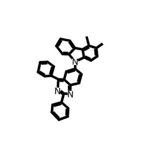 Cc1ccc2c(c1C)c1ccccc1n2-c1ccc2nc(-c3ccccc3)nc(-c3ccccc3)c2c1